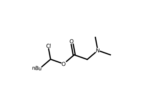 CCCCC(Cl)OC(=O)CN(C)C